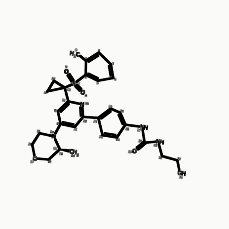 Cc1ccccc1S(=O)(=O)C1(c2cc(N3CCOC[C@@H]3C)cc(-c3ccc(NC(=O)NCCO)cc3)n2)CC1